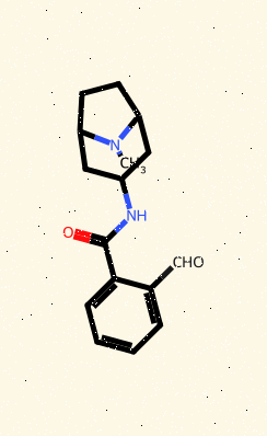 CN1C2CCC1CC(NC(=O)c1ccccc1C=O)C2